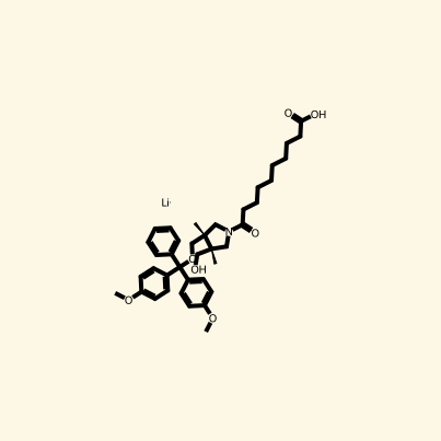 COc1ccc(C(OC[C@]2(C)CN(C(=O)CCCCCCCCC(=O)O)C[C@]2(C)CO)(c2ccccc2)c2ccc(OC)cc2)cc1.[Li]